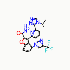 CC(C)n1cnnc1-c1cccc(-c2c(C(N)=O)oc3cccc(-n4cnc(C(F)(F)F)c4)c23)n1